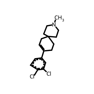 CN1CCC2(CC=C(c3ccc(Cl)c(Cl)c3)CC2)CC1